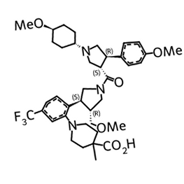 COC[C@H]1CN(C(=O)[C@@H]2CN([C@H]3CC[C@H](OC)CC3)C[C@H]2c2ccc(OC)cc2)C[C@@H]1c1ccc(C(F)(F)F)cc1N1CCC(C)(C(=O)O)CC1